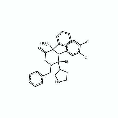 CCC1(C2CCNC2)C(c2ccc(Cl)c(Cl)c2)C(C(=O)O)(c2ccccc2)C(=O)CN1Cc1ccccc1